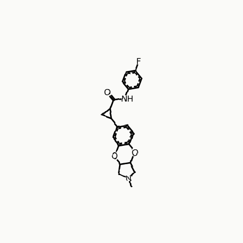 CN1CC2Oc3ccc(C4CC4C(=O)Nc4ccc(F)cc4)cc3OC2C1